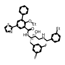 CCOc1c(C(=O)N[C@@H](Cc2cc(F)cc(F)c2)[C@H](O)CNCc2cccc(CC)c2)cc(-c2nccs2)cc1-c1ccccc1